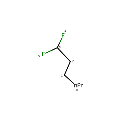 C[CH]CCCC(F)F